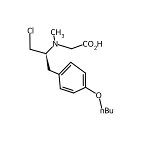 CCCCOc1ccc(C[C@@H](CCl)N(C)CC(=O)O)cc1